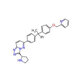 CC(C)C(C)(c1ccc(OCc2ccccn2)cc1)c1ccc(-c2ccc3nnc([C@H]4CCCN4)n3n2)cc1